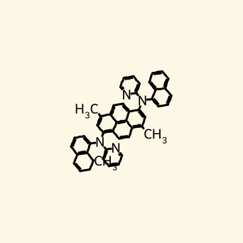 Cc1cc(N(c2ccccn2)c2cccc3c2C(C)CC=C3)c2ccc3c(C)cc(N(c4ccccn4)c4cccc5ccccc45)c4ccc1c2c34